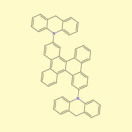 c1ccc2c(c1)Cc1ccccc1N2c1ccc2c3ccccc3c3c4cc(N5c6ccccc6Cc6ccccc65)ccc4c4ccccc4c3c2c1